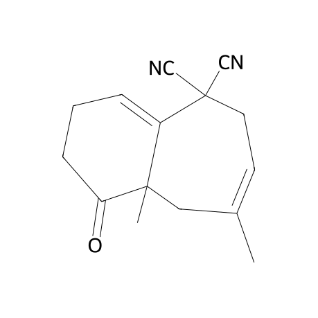 CC1=CCC(C#N)(C#N)C2=CCCC(=O)C2(C)C1